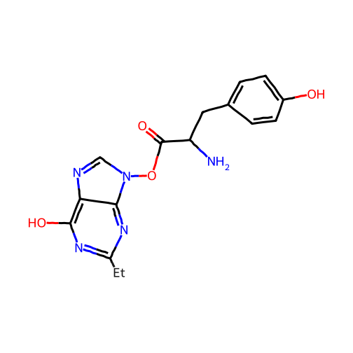 CCc1nc(O)c2ncn(OC(=O)C(N)Cc3ccc(O)cc3)c2n1